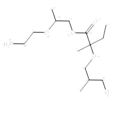 CCC(C)(OCC(C)CCl)C(=O)OCC(C)OCCP